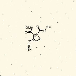 B=BO[C@@H]1CCN(C(=O)OC(C)(C)C)[C@@H]1C(=O)OC